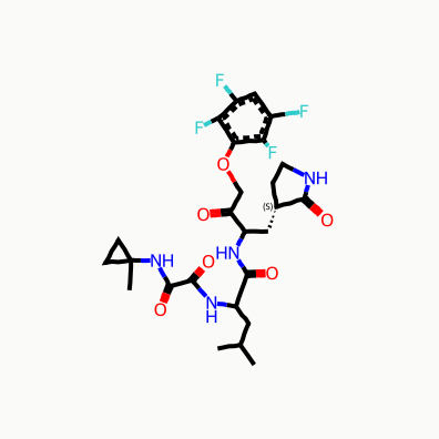 CC(C)CC(NC(=O)C(=O)NC1(C)CC1)C(=O)NC(C[C@@H]1CCNC1=O)C(=O)COc1c(F)c(F)cc(F)c1F